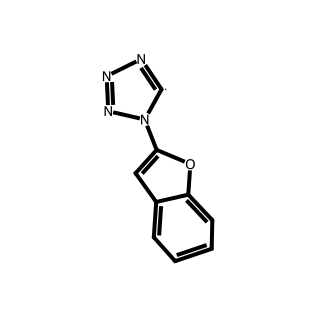 [c]1nnnn1-c1cc2ccccc2o1